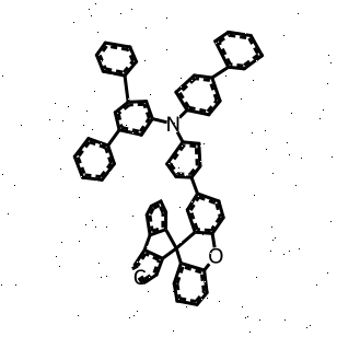 c1ccc(-c2ccc(N(c3ccc(-c4ccc5c(c4)C4(c6ccccc6O5)c5ccccc5-c5ccccc54)cc3)c3cc(-c4ccccc4)cc(-c4ccccc4)c3)cc2)cc1